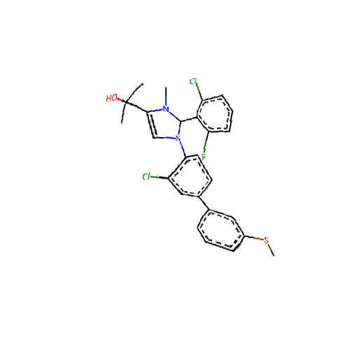 CSc1cccc(-c2ccc(N3C=C(C(C)(C)O)N(C)C3c3c(F)cccc3Cl)c(Cl)c2)c1